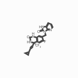 O=C1Nc2cc(Cn3c(=O)[nH]c4cccnc43)c(F)cc2[C@@](C#CC2CC2)(C(F)(F)F)N1